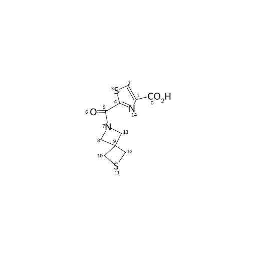 O=C(O)c1csc(C(=O)N2CC3(CSC3)C2)n1